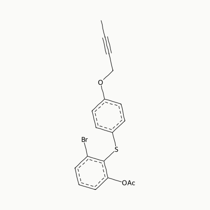 CC#CCOc1ccc(Sc2c(Br)cccc2OC(C)=O)cc1